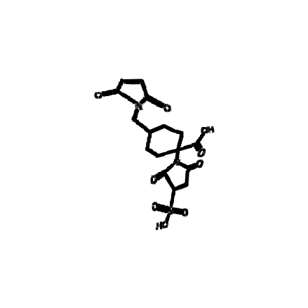 O=C1C=CC(=O)N1CC1CCC(C(=O)O)(N2C(=O)CC(S(=O)(=O)O)C2=O)CC1